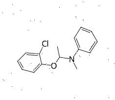 CC(Oc1ccccc1Cl)N(C)c1ccccc1